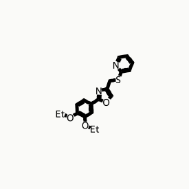 CCOc1ccc(-c2nc(CSc3ccccn3)co2)cc1OCC